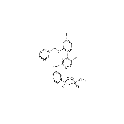 CS(=O)(=O)CS(=O)(=O)c1cccc(Nc2ncc(F)c(-c3ccc(F)cc3OCc3cccnc3)n2)c1